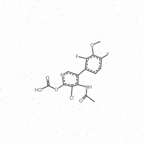 COc1c(F)ccc(-c2cnc(OC(=O)O)c(Cl)c2NC(C)=O)c1F